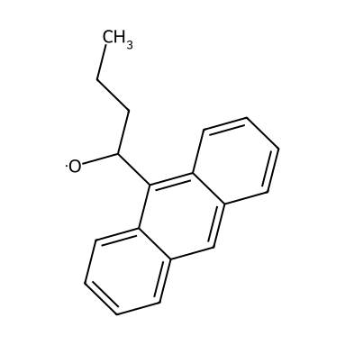 CCCC([O])c1c2ccccc2cc2ccccc12